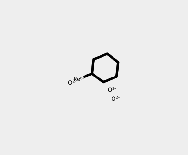 [O-2].[O-2].[O-2].[Re+6][CH]1CCCCC1